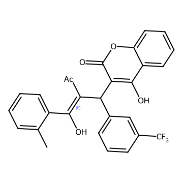 CC(=O)/C(=C(/O)c1ccccc1C)C(c1cccc(C(F)(F)F)c1)c1c(O)c2ccccc2oc1=O